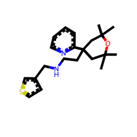 CC1(C)CC(CCNCc2ccsc2)(c2ccccn2)CC(C)(C)O1